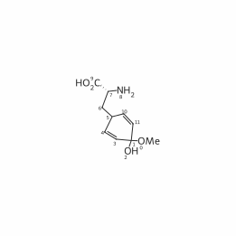 COC1(O)C=CC(C[C@@H](N)C(=O)O)C=C1